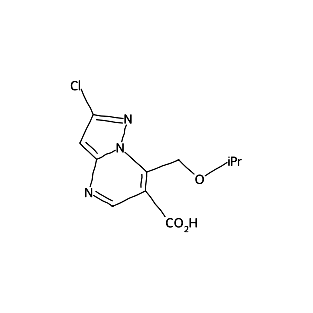 CC(C)OCc1c(C(=O)O)cnc2cc(Cl)nn12